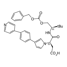 CC(C)(C)[C@H](COC(=O)OCc1ccccc1)NC(=O)[C@@H](CC(=O)O)n1ccc(-c2ccc(-c3ccncc3)cc2)c1